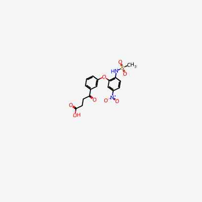 CS(=O)(=O)Nc1ccc([N+](=O)[O-])cc1Oc1cccc(C(=O)CCC(=O)O)c1